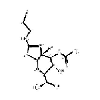 C[C@H](O)[C@H]1OC2SC(NCCF)=N[C@@H]2[C@@H](OC(=O)C(F)(F)F)[C@@H]1O